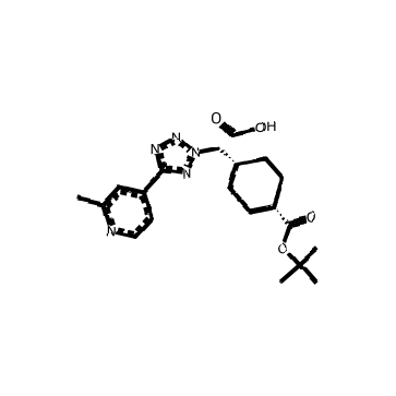 Cc1cc(-c2nnn(C[C@H]3CC[C@@H](C(=O)OC(C)(C)C)CC3)n2)ccn1.O=CO